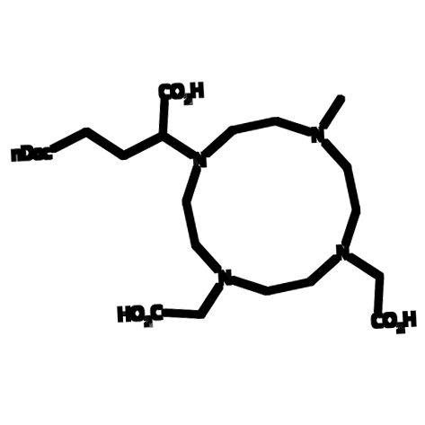 CCCCCCCCCCCCC(C(=O)O)N1CCN(C)CCN(CC(=O)O)CCN(CC(=O)O)CC1